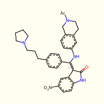 CC(=O)N1CCc2cc(N/C(=C3\C(=O)Nc4ccc([N+](=O)[O-])cc43)c3ccc(CCCN4CCCC4)cc3)ccc2C1